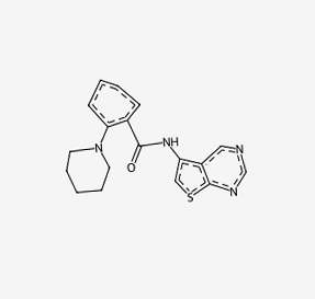 O=C(Nc1csc2ncncc12)c1ccccc1N1CCCCC1